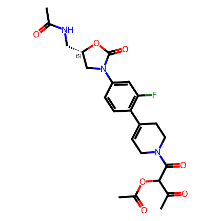 CC(=O)NC[C@H]1CN(c2ccc(C3=CCN(C(=O)C(OC(C)=O)C(C)=O)CC3)c(F)c2)C(=O)O1